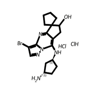 Cl.Cl.N[C@H]1CC[C@H](Nc2c3c(nc4c(Br)cnn24)C2(CCCC2)C(O)C3)C1